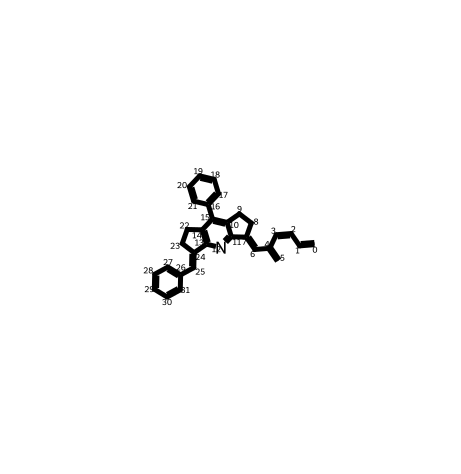 C=C/C=C\C(=C)/C=C1\CCc2c1nc1c(c2-c2ccccc2)CC/C1=C\c1ccccc1